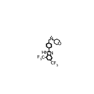 CN(Cc1ccc(-c2nc3cc(C(F)(F)F)cc(C(F)(F)F)c3[nH]2)cc1)C1CCOCC1